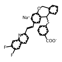 O=C([O-])c1cccc(SC2c3ccccc3COc3ccc(/C=C/c4ccc5cc(F)c(F)cc5n4)cc32)c1.[Na+]